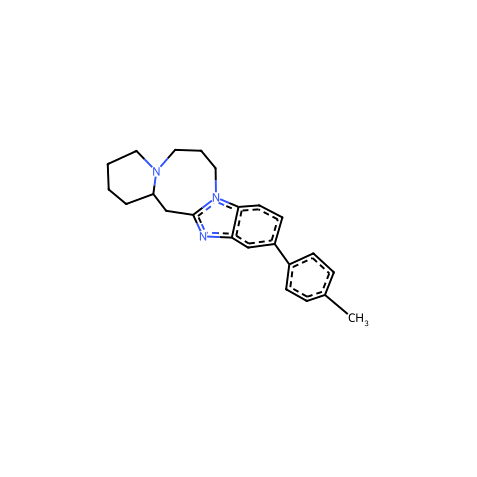 Cc1ccc(-c2ccc3c(c2)nc2n3CCCN3CCCCC3C2)cc1